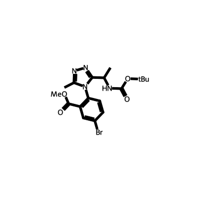 COC(=O)c1cc(Br)ccc1-n1c(C)nnc1C(C)NC(=O)OC(C)(C)C